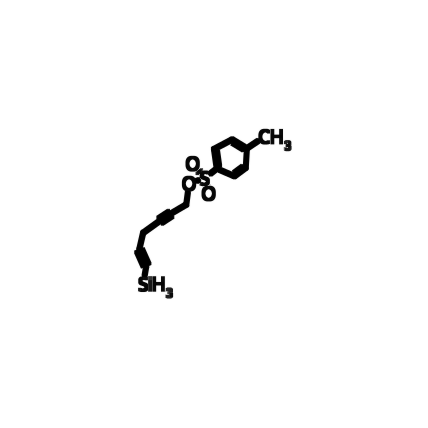 Cc1ccc(S(=O)(=O)OCC#CCC#C[SiH3])cc1